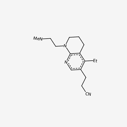 CCc1c(CCC#N)cnc2c1CCCN2CCNC